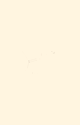 CC(=O)[O-].[Co+2].[Ni+2].[OH-]